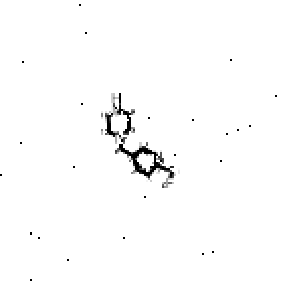 FSc1ccc(CN2CCNCC2)cn1